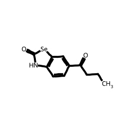 CCCC(=O)c1ccc2[nH]c(=O)[se]c2c1